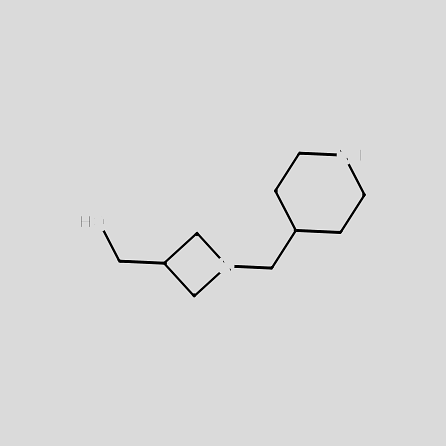 OCC1CN(CC2CCNCC2)C1